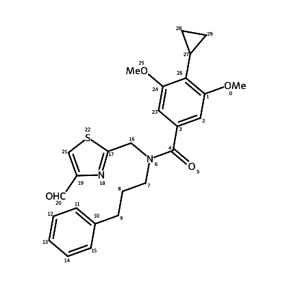 COc1cc(C(=O)N(CCCc2ccccc2)Cc2nc(C=O)cs2)cc(OC)c1C1CC1